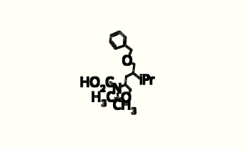 CC(C)C(COCc1ccccc1)CC1COC(C)(C)N1C(=O)O